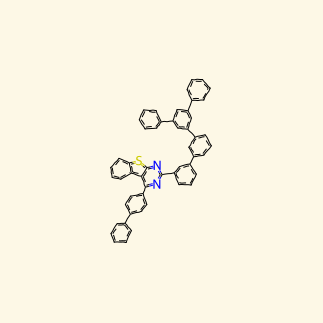 c1ccc(-c2ccc(-c3nc(-c4cccc(-c5cccc(-c6cc(-c7ccccc7)cc(-c7ccccc7)c6)c5)c4)nc4sc5ccccc5c34)cc2)cc1